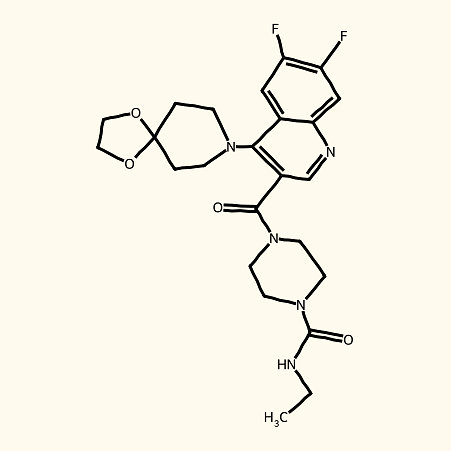 CCNC(=O)N1CCN(C(=O)c2cnc3cc(F)c(F)cc3c2N2CCC3(CC2)OCCO3)CC1